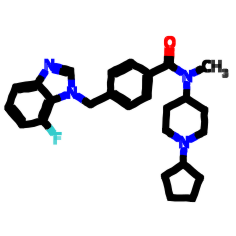 CN(C(=O)c1ccc(Cn2cnc3cccc(F)c32)cc1)C1CCN(C2CCCC2)CC1